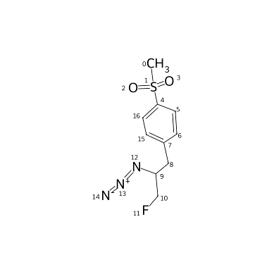 CS(=O)(=O)c1ccc(CC(CF)N=[N+]=[N-])cc1